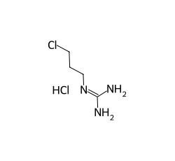 Cl.NC(N)=NCCCCl